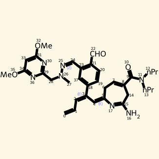 C=C/C=C(\C=C1/CC=C(C(=O)N(CCC)CCC)CC(N)=N1)c1ccc(C=O)c(/C=N\N(C)Cc2nc(OC)cc(OC)n2)c1